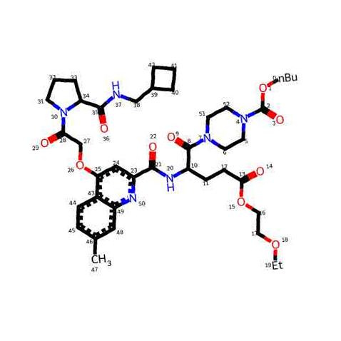 CCCCOC(=O)N1CCN(C(=O)C(CCC(=O)OCCOCC)NC(=O)c2cc(OCC(=O)N3CCCC3C(=O)NCC3CCC3)c3ccc(C)cc3n2)CC1